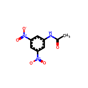 CC(=O)Nc1cc([N+](=O)[O-])cc([N+](=O)[O-])c1